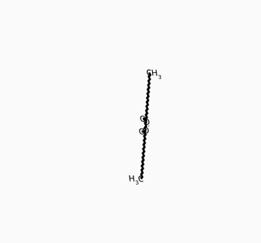 CCCCCCCCCCCCCCCCCCCCCCC(=O)OC[CH]COC(=O)CCCCCCCCCCCCCCCCCCCCCC